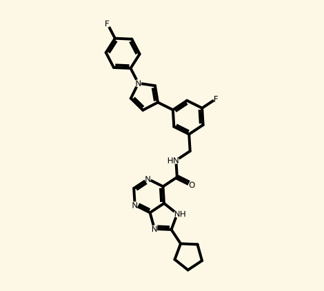 O=C(NCc1cc(F)cc(-c2ccn(-c3ccc(F)cc3)c2)c1)c1ncnc2nc(C3CCCC3)[nH]c12